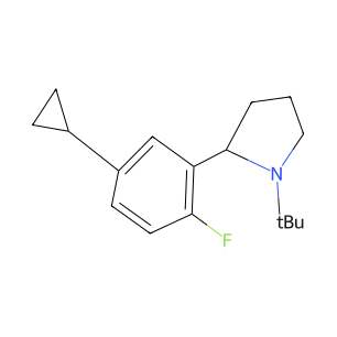 CC(C)(C)N1CCCC1c1cc(C2CC2)ccc1F